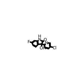 O=C1Nc2cc(F)ccc2C1(O)c1ccc(Cl)cn1